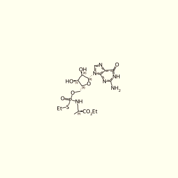 CCOC(=O)[C@@H](C)NP(=O)(OC[C@H]1O[C@@H](n2cnc3c(=O)[nH]c(N)nc32)[C@H](O)[C@@H]1O)SCC